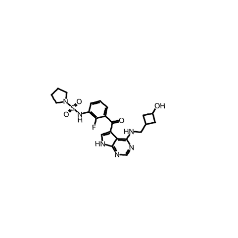 O=C(c1cccc(NS(=O)(=O)N2CCCC2)c1F)c1c[nH]c2ncnc(NCC3CC(O)C3)c12